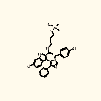 CC(C)(C)[Si](C)(C)OCCCNC(=O)c1[nH]c2cc(Cl)ccc2c1-c1c(-c2ccccc2)ncn1Cc1ccc(Cl)cc1